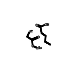 CCCCC(=O)O.CCCCOC(=O)CC(C)C